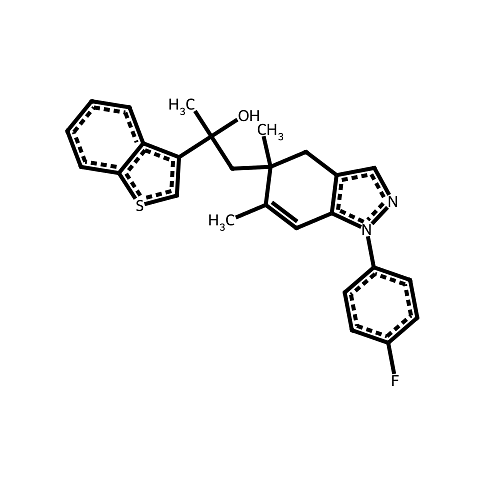 CC1=Cc2c(cnn2-c2ccc(F)cc2)CC1(C)CC(C)(O)c1csc2ccccc12